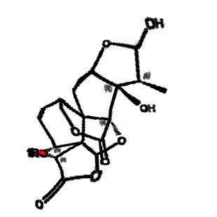 C[C@@H]1C(O)OC2CC34C5C[C@@H](C(C)(C)C)C36C(OC(=O)[C@@H]6O)O[C@@]4(C(=O)O5)[C@]21O